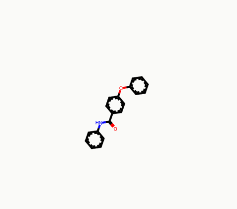 O=C(Nc1ccccc1)c1ccc(Oc2ccccc2)cc1